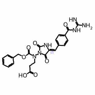 N=C(N)NC(=O)c1ccc(/C=C2\NC(=O)N(N(CCC(=O)O)C(=O)OCc3ccccc3)C2=O)cc1